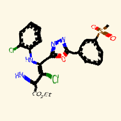 CCOC(=O)C(=N)/C(Cl)=C(\Nc1ccccc1Cl)c1nnc(-c2cccc(S(C)(=O)=O)c2)o1